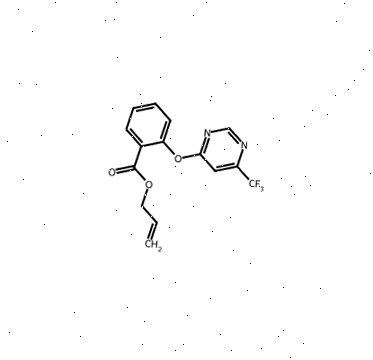 C=CCOC(=O)c1ccccc1Oc1cc(C(F)(F)F)ncn1